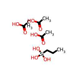 CC(=O)O.CC(=O)O.CC(=O)O.CCC[Si](O)(O)O